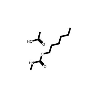 CC(=O)O.CCCCCCOC(=O)NC